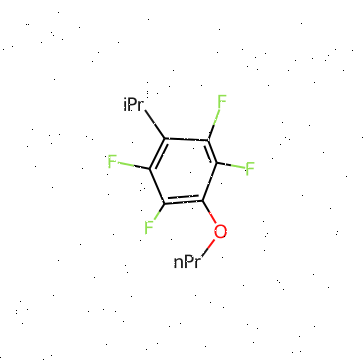 CCCOc1c(F)c(F)c(C(C)C)c(F)c1F